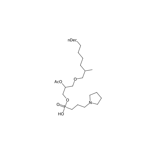 CCCCCCCCCCCCCCC(C)COCC(COP(=O)(O)CCCN1CCCC1)OC(C)=O